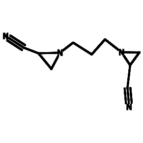 N#CC1CN1CCCN1CC1C#N